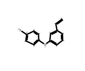 C=Cc1cccc(Oc2ccc(F)cc2)c1